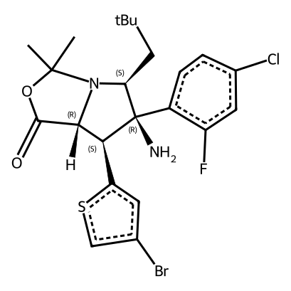 CC(C)(C)C[C@@H]1N2[C@@H](C(=O)OC2(C)C)[C@H](c2cc(Br)cs2)[C@@]1(N)c1ccc(Cl)cc1F